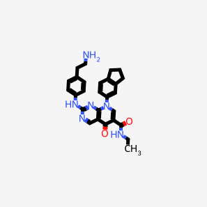 CCNC(=O)c1cn(-c2ccc3c(c2)CCC3)c2nc(Nc3ccc(CCN)cc3)ncc2c1=O